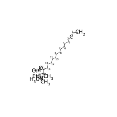 C=CCCCC=CCCCCCCCCCCC(CC)(P(=O)=O)[N+](C)(C)C